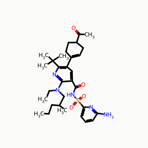 CCCC(C)CN(CC)c1nc(C(C)(C)C)c(C2=CCC(C(C)=O)CC2)cc1C(=O)NS(=O)(=O)c1cccc(N)n1